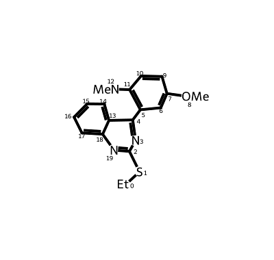 CCSc1nc(-c2cc(OC)ccc2NC)c2ccccc2n1